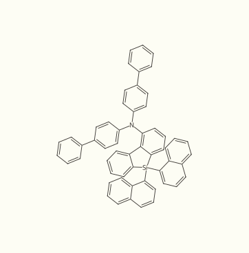 c1ccc(-c2ccc(N(c3ccc(-c4ccccc4)cc3)c3cccc4c3-c3ccccc3[Si]4(c3cccc4ccccc34)c3cccc4ccccc34)cc2)cc1